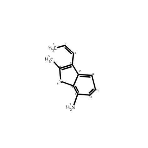 C/C=C\c1c(C)sc2c(N)cccc12